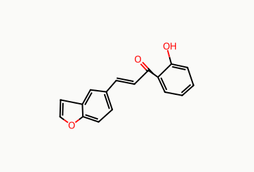 O=C(C=Cc1ccc2occc2c1)c1ccccc1O